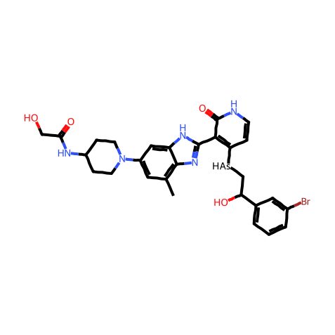 Cc1cc(N2CCC(NC(=O)CO)CC2)cc2[nH]c(-c3c([AsH]CC(O)c4cccc(Br)c4)cc[nH]c3=O)nc12